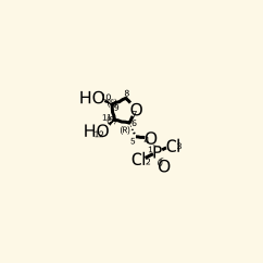 O=P(Cl)(Cl)OC[C@H]1OC[C@H](O)[C@@H]1O